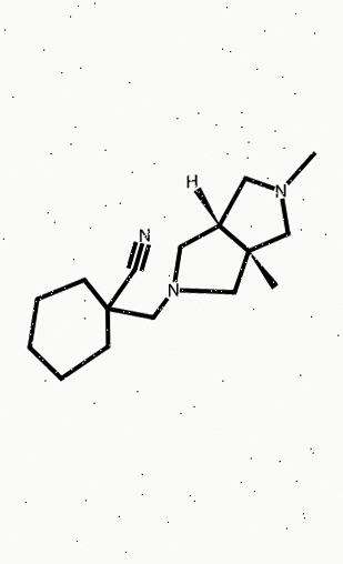 CN1C[C@H]2CN(CC3(C#N)CCCCC3)C[C@@]2(C)C1